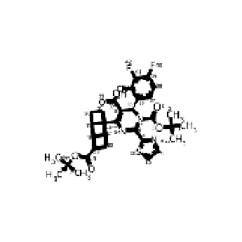 CC(C)(C)OC(=O)N1C(c2nccs2)=NC(C23C4C5C2C2C3C4C52C(=O)OC(C)(C)C)=C(C(=O)O)[C@H]1c1ccc(F)c(F)c1Cl